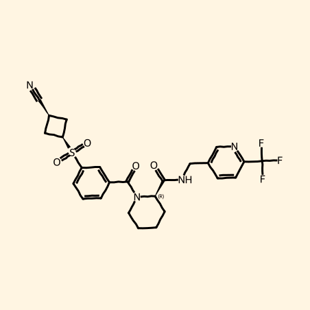 N#C[C@H]1C[C@@H](S(=O)(=O)c2cccc(C(=O)N3CCCC[C@@H]3C(=O)NCc3ccc(C(F)(F)F)nc3)c2)C1